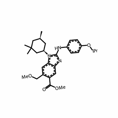 COCc1cc2c(cc1C(=O)OC)nc(Nc1ccc(OC(C)C)cc1)n2[C@@H]1C[C@H](C)CC(C)(C)C1